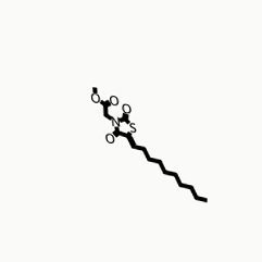 CCCCCCCCCC=C1SC(=O)N(CC(=O)OC)C1=O